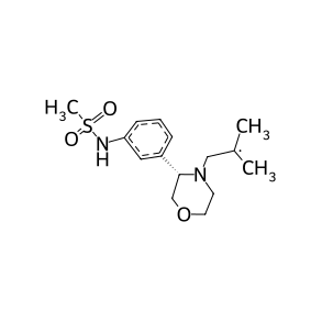 C[C](C)CN1CCOC[C@@H]1c1cccc(NS(C)(=O)=O)c1